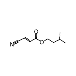 CC(C)CCOC(=O)C=CC#N